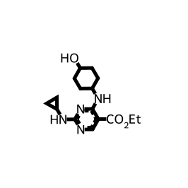 CCOC(=O)c1cnc(NC2CC2)nc1NC1CCC(O)CC1